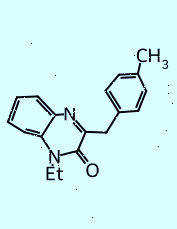 CCn1c(=O)c(Cc2ccc(C)cc2)nc2ccccc21